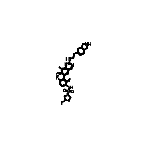 Cn1c(=O)c(-c2c(F)ccc(NS(=O)(=O)N3CC[C@@H](F)C3)c2F)cc2cnc(NCCc3ccc4c(c3)CNC4)nc21